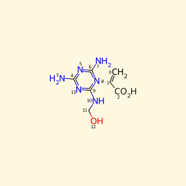 C=CC(=O)O.Nc1nc(N)nc(NCO)n1